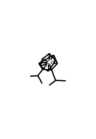 CC(C)[C]12[CH]3[CH]4[CH]5[C]1(C(C)C)[Co]43521678[CH]2[CH]1[CH]6[CH]7[CH]28